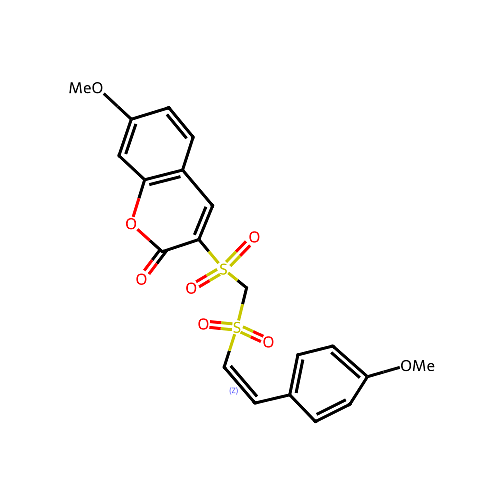 COc1ccc(/C=C\S(=O)(=O)CS(=O)(=O)c2cc3ccc(OC)cc3oc2=O)cc1